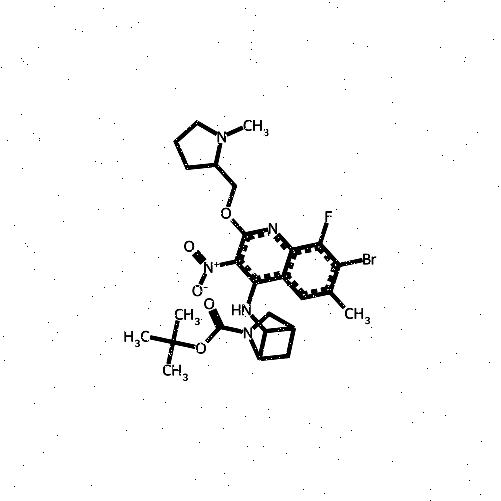 Cc1cc2c(NC3C4CC3N(C(=O)OC(C)(C)C)C4)c([N+](=O)[O-])c(OCC3CCCN3C)nc2c(F)c1Br